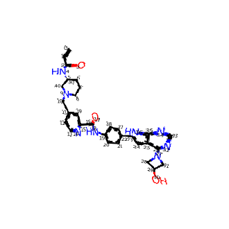 C=CC(=O)N[C@@H]1CCCN(Cc2ccnc(C(=O)Nc3ccc(-c4cc5c(N6CC(O)C6)ncnc5[nH]4)cc3)c2)C1